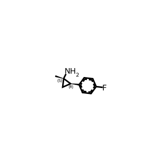 C[C@]1(N)C[C@@H]1c1ccc(F)cc1